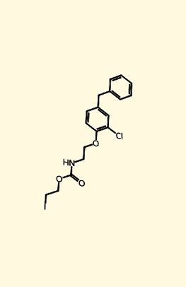 O=C(NCCOc1ccc(Cc2ccccc2)cc1Cl)OCCI